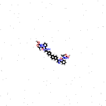 COC(=O)NN(C(=O)[C@@H]1CCCCC1c1ncc(-c2ccc3cc(-c4ccc(-c5cnc(C6CCCCN6C(=O)N(NC(=O)OC)C(C)C)[nH]5)cc4)ccc3c2)[nH]1)C(C)C